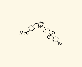 COc1ccc(Cc2csc(N3CCC(S(=O)(=O)c4ccc(Br)cc4)CC3)n2)cc1